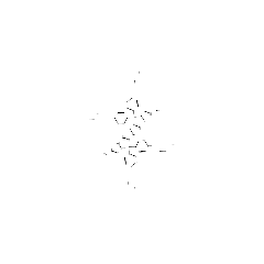 CCCCOc1ccc(C2(c3ccc(OC[C@H](C)CC)cc3)c3cc(C=O)sc3-c3sc4c5c(sc4c32)-c2sc(C=O)cc2C5(c2ccc(OC[C@H](C)CC)cc2)c2ccc(OC[C@@H](C)CC)cc2)cc1